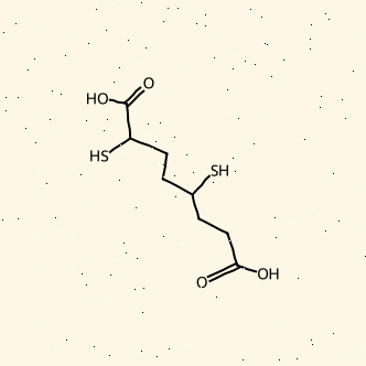 O=C(O)CCC(S)CCC(S)C(=O)O